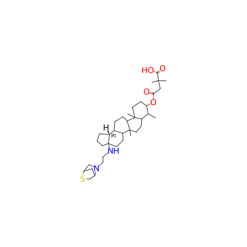 CC1C(OC(=O)CC(C)(C)C(=O)O)CCC2(C)C1CCC1(C)C3CCC4(NCCN5CC6CC5CS6)CCC[C@@H]4C3CCC21